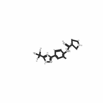 Cc1cc(-c2noc(C(F)(F)F)n2)ccc1NC(=O)C1CCOC1